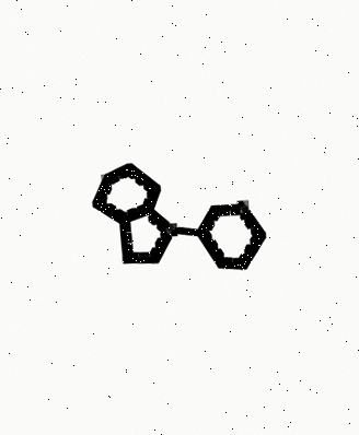 [c]1ccc2c(c1)ccn2-c1cccnc1